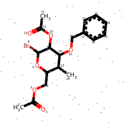 CC(=O)OCC1OC(Br)C(OC(C)=O)C(OCc2ccccc2)C1C